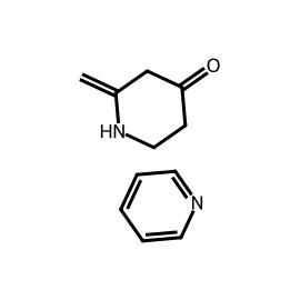 C=C1CC(=O)CCN1.c1ccncc1